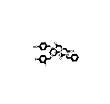 C=CCN1CC(=O)N2[C@@H](Cc3ccc(O)cc3)CN(Cc3ccc(F)cc3F)C[C@@H]2N1C(=O)NCc1ccccc1